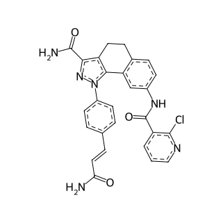 NC(=O)C=Cc1ccc(-n2nc(C(N)=O)c3c2-c2cc(NC(=O)c4cccnc4Cl)ccc2CC3)cc1